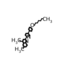 CCCCCCCOc1ccc(-c2ccc(-c3cc(CC)c4cc(C)ccc4n3)nc2)cc1